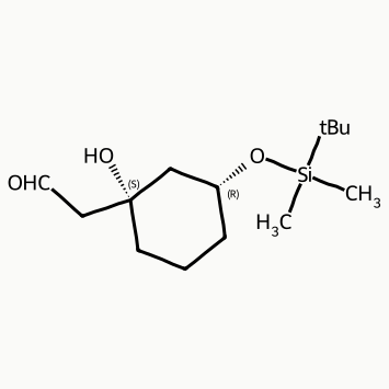 CC(C)(C)[Si](C)(C)O[C@@H]1CCC[C@@](O)(CC=O)C1